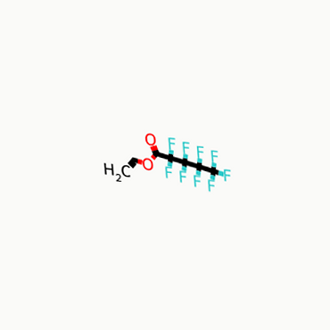 C=COC(=O)C(F)(F)C(F)(F)C(F)(F)C(F)(F)F